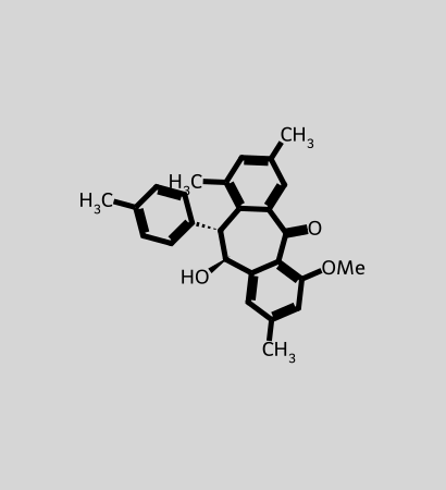 COc1cc(C)cc2c1C(=O)c1cc(C)cc(C)c1[C@@H](c1ccc(C)cc1)[C@@H]2O